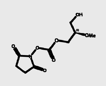 CO[C@H](CO)COC(=O)ON1C(=O)CCC1=O